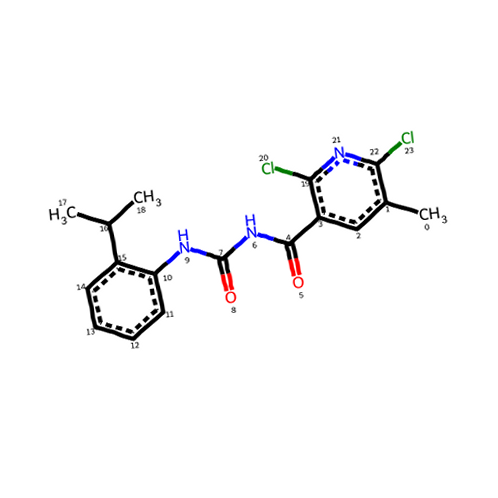 Cc1cc(C(=O)NC(=O)Nc2ccccc2C(C)C)c(Cl)nc1Cl